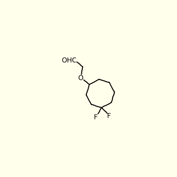 O=CCOC1CCCCC(F)(F)CC1